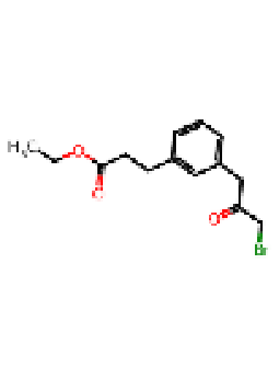 CCOC(=O)CCc1cccc(CC(=O)CBr)c1